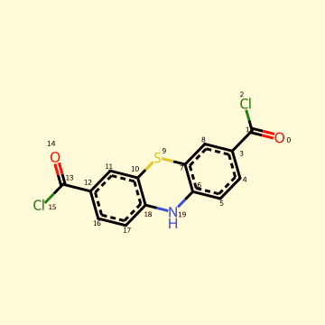 O=C(Cl)c1ccc2c(c1)Sc1cc(C(=O)Cl)ccc1N2